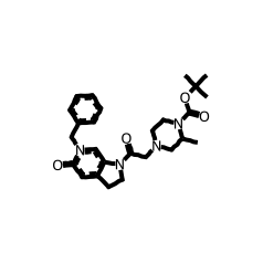 CC1CN(CC(=O)N2CCc3cc(=O)n(Cc4ccccc4)cc32)CCN1C(=O)OC(C)(C)C